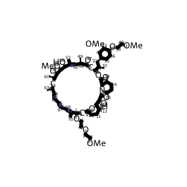 COCCOCCOC1C[C@@H]2CC[C@@H](C)[C@@](O)(O2)C(=O)C(=O)N2CCCC[C@H]2C(=O)O[C@H]([C@H](C)C[C@@H]2CC[C@@H](OCCOC)[C@H](OC)C2)CC(=O)[C@H](C)/C=C(\C)[C@@H](O)[C@@H](OC)C(=O)[C@H](C)C[C@H](C)/C=C/C=C/C=C/1C